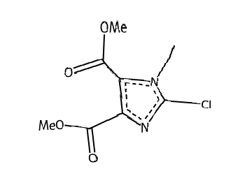 COC(=O)c1nc(Cl)n(C)c1C(=O)OC